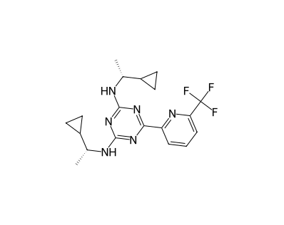 C[C@@H](Nc1nc(N[C@H](C)C2CC2)nc(-c2cccc(C(F)(F)F)n2)n1)C1CC1